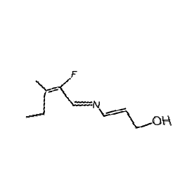 CC\C(C)=C(F)/C=N/C=C/CO